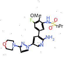 CCCS(=O)(=O)Nc1cc(-c2cc(-n3ccc(N4CCOCC4)n3)cnc2N)cc(F)c1OC